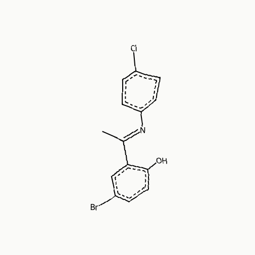 C/C(=N\c1ccc(Cl)cc1)c1cc(Br)ccc1O